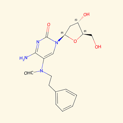 Nc1nc(=O)n([C@H]2C[C@H](O)[C@@H](CO)O2)cc1N(C=O)CCc1ccccc1